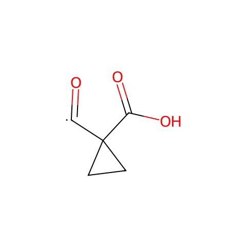 O=[C]C1(C(=O)O)CC1